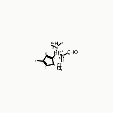 CC1=CC[C]([Hf+2]([NH]C=O)[SiH](C)C)=C1.[Cl-].[Cl-]